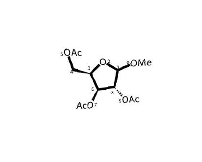 COC1O[C@H](COC(C)=O)[C@H](OC(C)=O)[C@H]1OC(C)=O